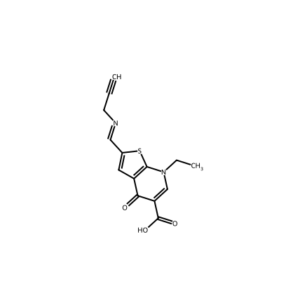 C#CCN=Cc1cc2c(=O)c(C(=O)O)cn(CC)c2s1